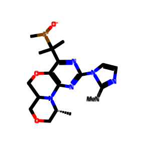 CNc1nccn1-c1nc2c(c(C(C)(C)[S+](C)[O-])n1)OCC1COC[C@@H](C)N21